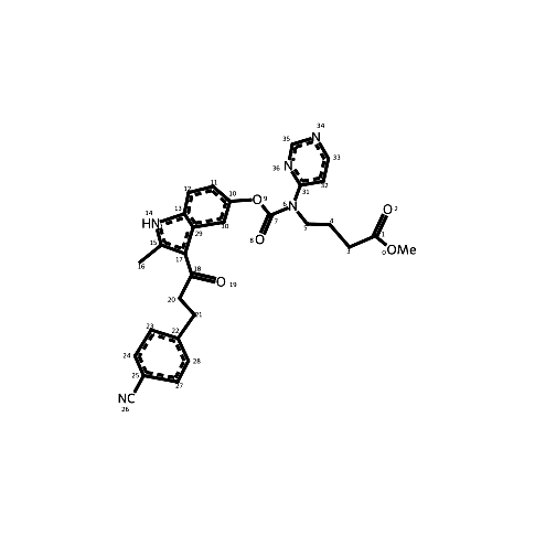 COC(=O)CCCN(C(=O)Oc1ccc2[nH]c(C)c(C(=O)CCc3ccc(C#N)cc3)c2c1)c1ccncn1